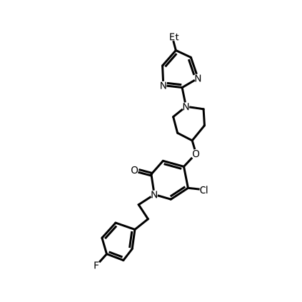 CCc1cnc(N2CCC(Oc3cc(=O)n(CCc4ccc(F)cc4)cc3Cl)CC2)nc1